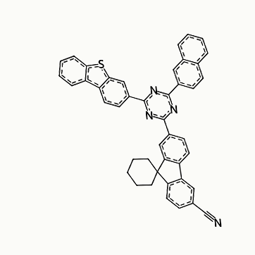 N#Cc1ccc2c(c1)-c1ccc(-c3nc(-c4ccc5ccccc5c4)nc(-c4ccc5c(c4)sc4ccccc45)n3)cc1C21CCCCC1